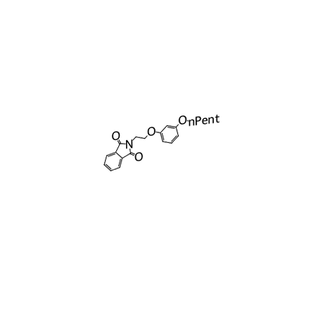 CCCCCOc1cccc(OCCN2C(=O)c3ccccc3C2=O)c1